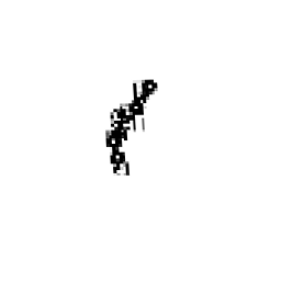 O=C(NC(Cc1ccc(OCc2ccccc2F)cc1)C(=O)O)c1cn2ccc(-c3ccc(Cl)cc3)cc2n1